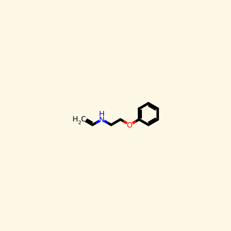 C=CNCCOc1ccccc1